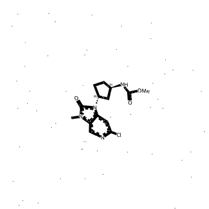 COC(=O)N[C@@H]1CC[C@@H](n2c(=O)n(C)c3cnc(Cl)cc32)C1